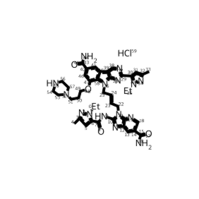 CCn1nc(C)cc1C(=O)Nc1nc2cc(C(N)=O)cnc2n1C/C=C/Cn1c2nc(-c3cc(C)nn3CC)ncc2c2cc(C(N)=O)cc(OCCCN3CCNCC3)c21.Cl